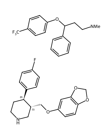 CNCCC(Oc1ccc(C(F)(F)F)cc1)c1ccccc1.Fc1ccc([C@@H]2CCNC[C@H]2COc2ccc3c(c2)OCO3)cc1